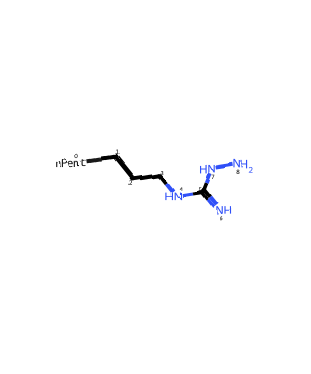 CCCCCCCCNC(=N)NN